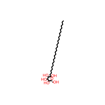 CCCCCCCCCCCCCCCCCCCCCCCCCCCCCC[C@]1(O)O[C@H](CO)[C@@H](O)[C@H](O)[C@H]1O